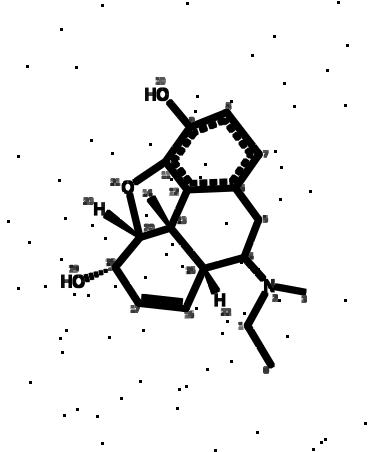 CCN(C)C1Cc2ccc(O)c3c2[C@]2(C)[C@H]1C=C[C@H](O)[C@@H]2O3